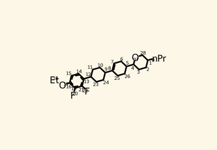 CCCC1CCC(C2CC=C(C3CCC(c4ccc(OCC)c(F)c4F)CC3)CC2)OC1